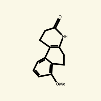 COc1cccc2c1CCC1=C2CCC(=O)N1